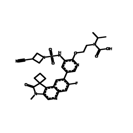 CC(C)N(CCOc1ncc(-c2cc3c4c(cnc3cc2F)N(C)C(=O)C42CCC2)cc1NS(=O)(=O)N1CC(C#N)C1)C(=O)O